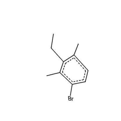 CCc1c(C)ccc(Br)c1C